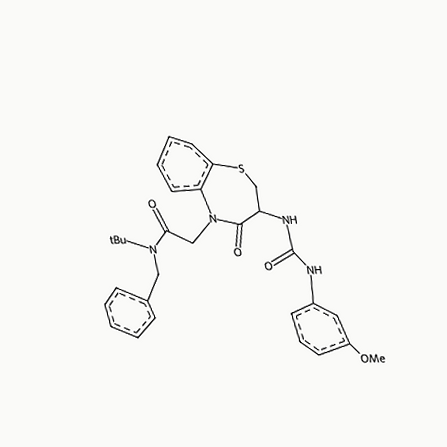 COc1cccc(NC(=O)NC2CSc3ccccc3N(CC(=O)N(Cc3ccccc3)C(C)(C)C)C2=O)c1